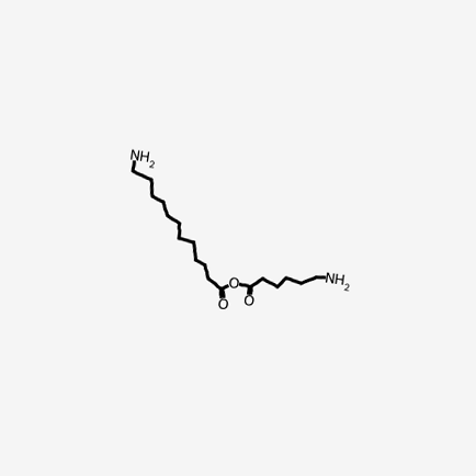 NCCCCCCCCCCCC(=O)OC(=O)CCCCCN